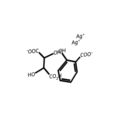 O=C([O-])C(O)C(O)C(=O)O.O=C([O-])c1ccccc1O.[Ag+].[Ag+]